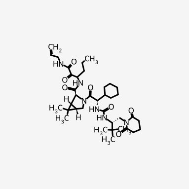 C=CCNC(=O)C(=O)C(CCC)NC(=O)[C@@H]1[C@@H]2[C@H](CN1C(=O)[C@@H](NC(=O)N[C@H](CN1C(=O)CCCC1=O)C(C)(C)C)C1CCCCC1)C2(C)C